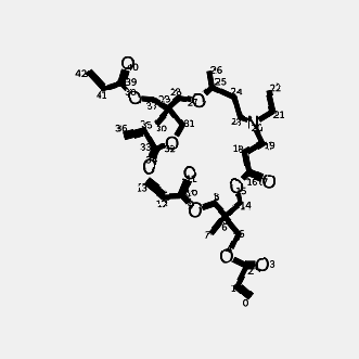 C=CC(=O)OCC(C)(COC(=O)C=C)COC(=O)CCN(CC)CCC(C)OCC(C)(COC(=O)C=C)COC(=O)C=C